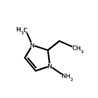 CCC1N(C)C=CN1N